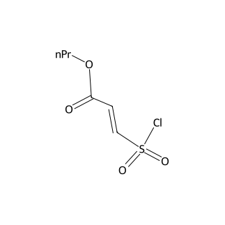 CCCOC(=O)C=CS(=O)(=O)Cl